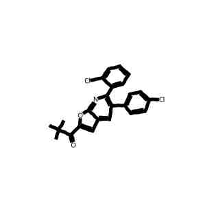 CC(C)(C)C(=O)c1cc2cc(-c3ccc(Cl)cc3)c(-c3ccccc3Cl)nc2o1